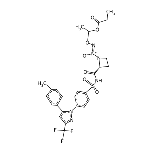 CCC(=O)OC(C)O/N=[N+](\[O-])N1CC[C@H]1C(=O)NS(=O)(=O)c1ccc(-n2nc(C(F)(F)F)cc2-c2ccc(C)cc2)cc1